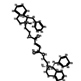 C[N@@+]1(CCOC(=O)/C=C/C(=O)OCC[N@+]2(C)CCc3ccccc3[C@H]2Cc2ccccc2)CCc2ccccc2C1Cc1ccccc1